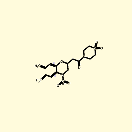 C=C/C=C1/OC(CC(=O)N2CCS(=O)(=O)CC2)CN([SH](=O)=O)/C1=C/C=C